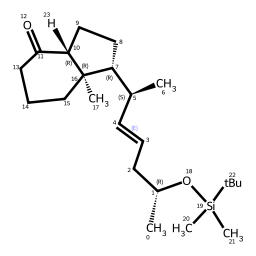 C[C@H](C/C=C/[C@H](C)[C@H]1CC[C@H]2C(=O)CCC[C@]12C)O[Si](C)(C)C(C)(C)C